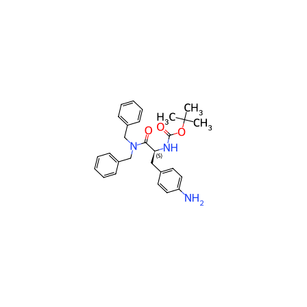 CC(C)(C)OC(=O)N[C@@H](Cc1ccc(N)cc1)C(=O)N(Cc1ccccc1)Cc1ccccc1